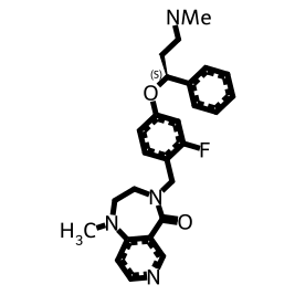 CNCC[C@H](Oc1ccc(CN2CCN(C)c3ccncc3C2=O)c(F)c1)c1ccccc1